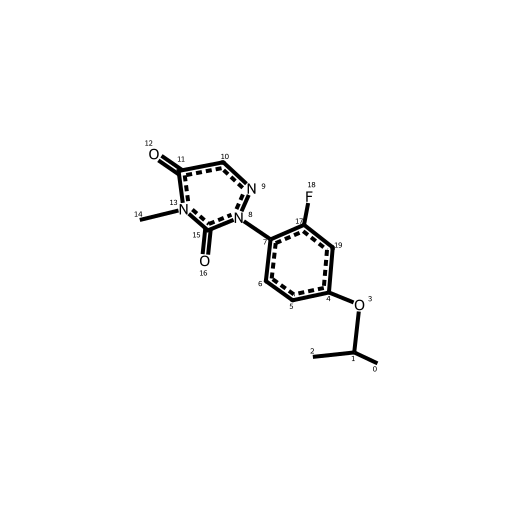 CC(C)Oc1ccc(-n2ncc(=O)n(C)c2=O)c(F)c1